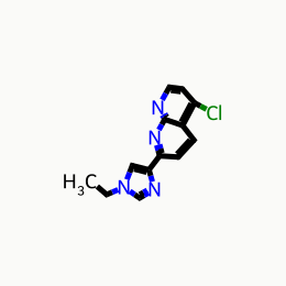 CCn1cnc(-c2ccc3c(Cl)ccnc3n2)c1